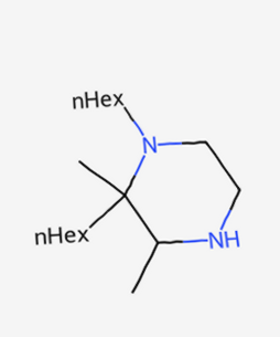 CCCCCCN1CCNC(C)C1(C)CCCCCC